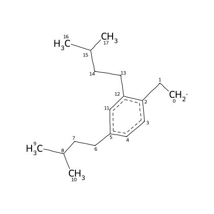 [CH2]Cc1ccc(CCC(C)C)cc1CCC(C)C